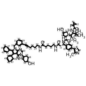 Cc1ncsc1-c1ccc([C@H](CC(=O)NCCCCC(=O)NCCCCC#Cc2cccc(Cn3c(-c4ccccc4)c(-c4ccccc4)c4c(=N)n(C5CCC(O)CC5)cnc43)c2)NC(=O)[C@@H]2C[C@@H](O)CN2C(=O)C(NC(=O)C2(F)CC2)C(C)(C)C)cc1